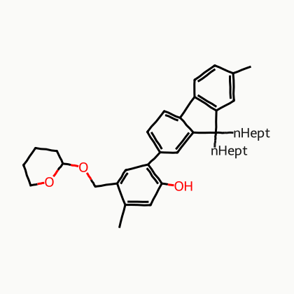 CCCCCCCC1(CCCCCCC)c2cc(C)ccc2-c2ccc(-c3cc(COC4CCCCO4)c(C)cc3O)cc21